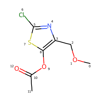 COCc1nc(Cl)sc1OC(C)=O